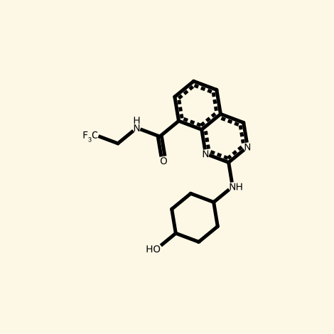 O=C(NCC(F)(F)F)c1cccc2cnc(NC3CCC(O)CC3)nc12